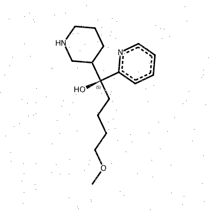 COCCCC[C@@](O)(c1ccccn1)C1CCCNC1